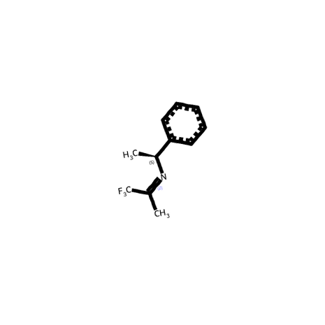 C/C(=N/[C@@H](C)c1ccccc1)C(F)(F)F